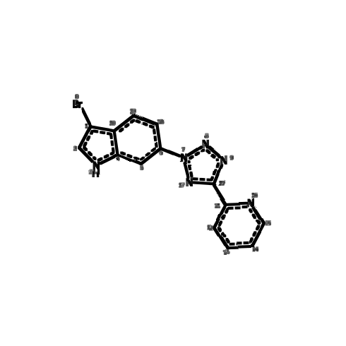 Brc1c[nH]c2cc(-n3nnc(-c4ccccn4)n3)ccc12